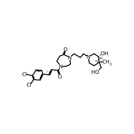 C[C@@]1(CO)CCN(CCCN2CCN(C(=O)/C=C/c3ccc(Cl)c(Cl)c3)CCC2=O)C[C@@H]1O